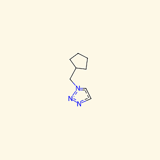 c1cn(CC2CCCC2)nn1